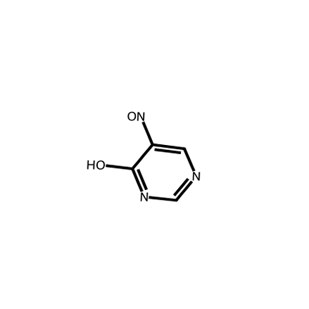 O=Nc1cncnc1O